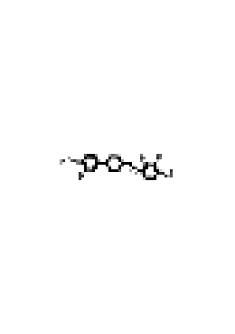 CCCc1ccc(C2CCC(COc3ccc(CC)c(F)c3F)CC2)cc1F